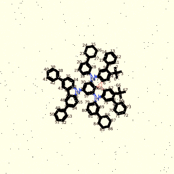 CC(C)(C)c1cc2c(cc1-c1ccccc1)N(c1cccc(C3CCCCC3)c1)c1cc(-n3c4ccc(-c5ccccc5)cc4c4cc(-c5ccccc5)ccc43)cc3c1B2c1cc(C(C)(C)C)c(-c2ccccc2)cc1N3c1cccc(C2CCCCC2)c1